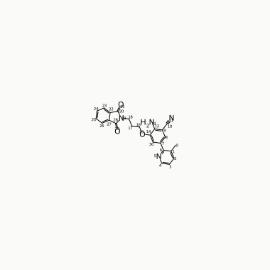 Cc1cccnc1-c1cc(C#N)c(N)c(OCCCN2C(=O)c3ccccc3C2=O)c1